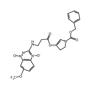 O=C(CCNc1n[n+]([O-])c2cc(OC(F)(F)F)ccc2[n+]1[O-])OC1=CN(C(=O)OCc2ccccc2)CC1